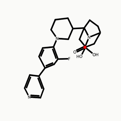 O=C(O)N1C2CCC1(C1CCCN(c3ccc(-c4ccncc4)cc3F)C1)CC(O)C2